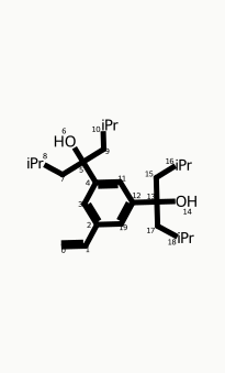 C=Cc1cc(C(O)(CC(C)C)CC(C)C)cc(C(O)(CC(C)C)CC(C)C)c1